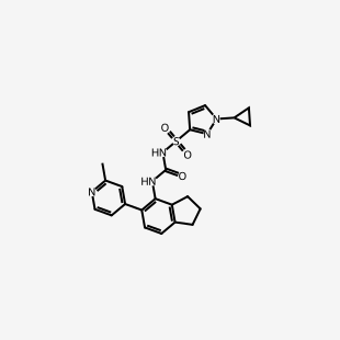 Cc1cc(-c2ccc3c(c2NC(=O)NS(=O)(=O)c2ccn(C4CC4)n2)CCC3)ccn1